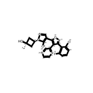 C[C@]1(O)C[C@@H](n2ncc(-c3onc(-c4c(F)cccc4Cl)c3-c3cnccn3)c2C(F)(F)F)C1